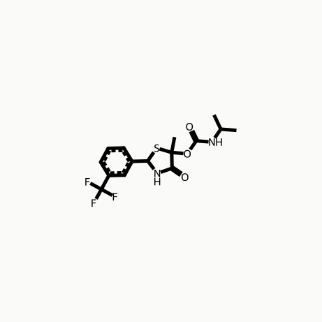 CC(C)NC(=O)OC1(C)SC(c2cccc(C(F)(F)F)c2)NC1=O